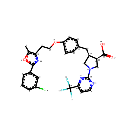 Cc1oc(-c2cccc(Cl)c2)nc1CCOc1ccc(C[C@@H]2CN(c3nccc(C(F)(F)F)n3)C[C@@H]2C(=O)O)cc1